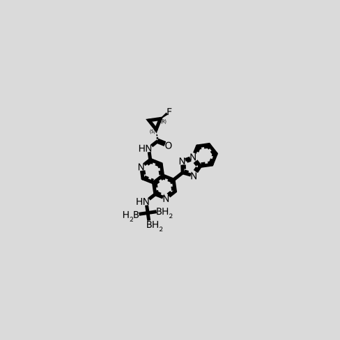 BC(B)(B)Nc1ncc(-c2nc3ccccn3n2)c2cc(NC(=O)[C@@H]3C[C@H]3F)ncc12